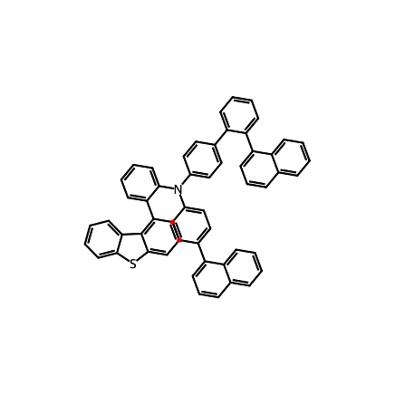 c1ccc(-c2cccc3ccccc23)c(-c2ccc(N(c3ccc(-c4cccc5ccccc45)cc3)c3ccccc3-c3cccc4sc5ccccc5c34)cc2)c1